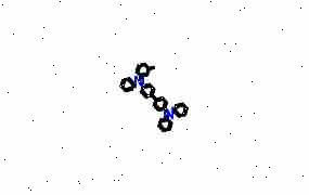 CC1C=C(N(c2ccccc2)c2ccc(-c3ccc(N(c4ccccc4)c4ccccc4)cc3)cc2)C=CC1